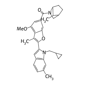 COc1cc(C(=O)N2CC3CCC2C3C)cc2oc(-c3cc4ccc(C)cc4n3CC3CC3)c(C)c12